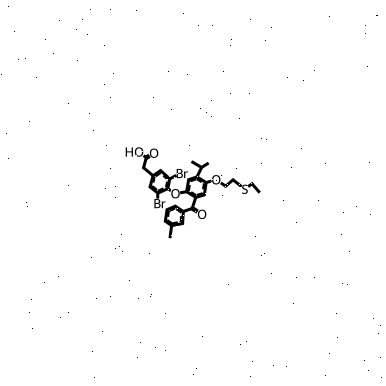 CCSCCOc1cc(C(=O)c2cccc(C)c2)c(Oc2c(Br)cc(CC(=O)O)cc2Br)cc1C(C)C